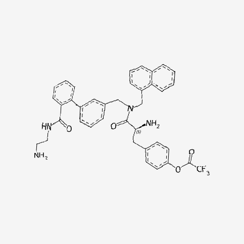 NCCNC(=O)c1ccccc1-c1cccc(CN(Cc2cccc3ccccc23)C(=O)[C@@H](N)Cc2ccc(OC(=O)C(F)(F)F)cc2)c1